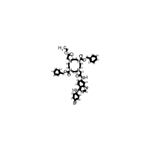 CCOC(=O)CN1CCN(C(=O)OCc2ccccc2)CCN(CC(=O)Nc2ccc3c(Nc4ccc(Br)cc4)ncnc3c2)CCN(C(=O)OCc2ccccc2)CC1